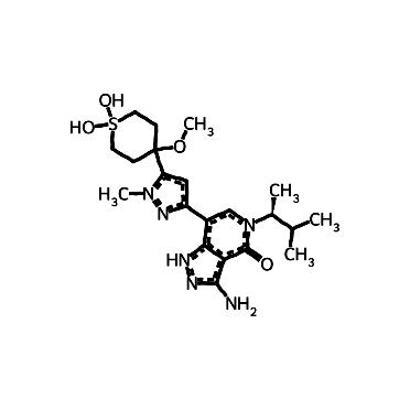 COC1(c2cc(-c3cn([C@@H](C)C(C)C)c(=O)c4c(N)n[nH]c34)nn2C)CCS(O)(O)CC1